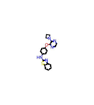 c1ccc2sc(Nc3ccc(Oc4nccnc4N4CCC4)cc3)nc2c1